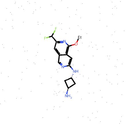 CCOc1nc(C(F)F)cc2cnc(N[C@H]3C[C@H](N)C3)cc12